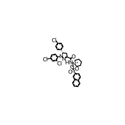 O=C(N[N+]1(OS(=O)(=O)c2ccc3ccccc3c2)CCCCC1)C1=NN(c2ccc(Cl)cc2Cl)[C@H](c2ccc(Cl)cc2)C1